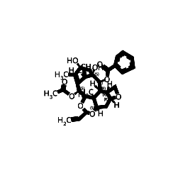 C=CC1O[C@H]2C[C@H]3OC[C@H]3[C@H]3[C@H](OC(=O)c4ccccc4)[C@]4(O)C[C@H](O)C(C)=C([C@H](OC(C)=O)[C@H](O1)[C@@]32C)C4(C)C